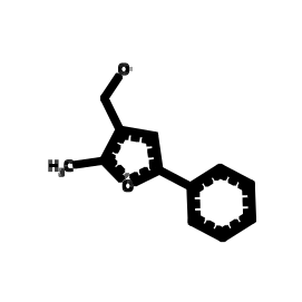 Cc1oc(-c2ccccc2)cc1C[O]